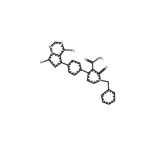 CCc1cc(-c2ccc(-c3ccn(Cc4ccccc4)c(=O)c3C(N)=O)cc2)c2c(N)ncnn12